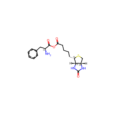 N[C@@H](Cc1ccccc1)C(=O)OC(=O)CCCC[C@@H]1SC[C@@H]2NC(=O)N[C@@H]21